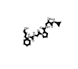 CCCCC(CNC(=O)C1CCCN1C(=O)CNC(=O)NC1(C/C=C/O)CCCCC1)C(=O)NC1CC1